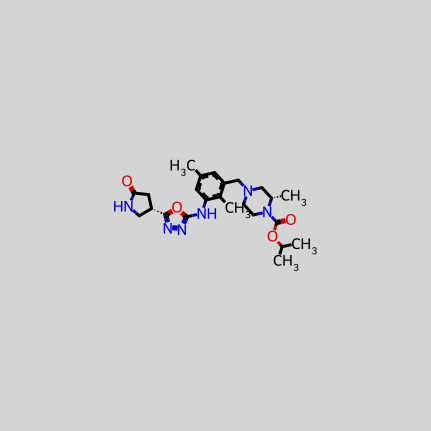 Cc1cc(CN2CCN(C(=O)OC(C)C)[C@@H](C)C2)c(C)c(Nc2nnc([C@@H]3CNC(=O)C3)o2)c1